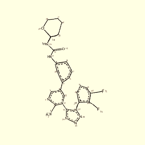 Nc1ncc(-c2cccc(NC(=O)NC3CCCCO3)c2)cc1-c1nnnn1-c1cccc(F)c1F